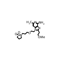 COCCc1nc2c(N)nc(C)cc2n1CCOCCCN1CCCS1(=O)=O